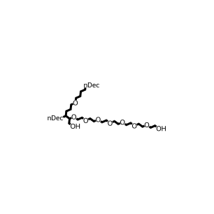 CCCCCCCCCCCCCCOCCCC(CCCCCCCCCC)C(CO)OCCOCCOCCOCCOCCOCCOCCO